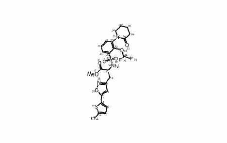 COC(=O)[C@H](Cc1cc(-c2ccc(Cl)s2)on1)NS(=O)(=O)c1cccc(N2CCCCC2=O)c1OC(F)F